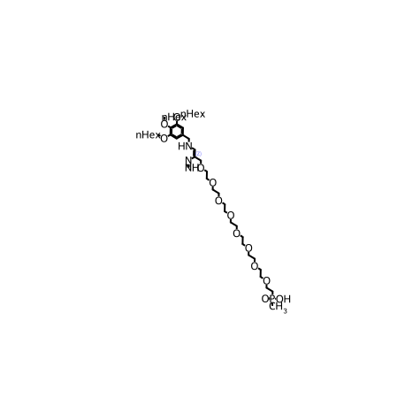 CCCCCCOc1cc(CN/C=C(/COCCOCCOCCOCCOCCOCCOCCOCCP(C)(=O)O)N=N)cc(OCCCCCC)c1OCCCCCC